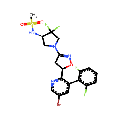 CS(=O)(=O)N[C@@H]1CN(C2=NOC(c3ncc(Br)cc3-c3c(F)cccc3F)C2)CC1(F)F